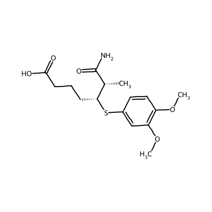 COc1ccc(S[C@H](CCCC(=O)O)[C@@H](C)C(N)=O)cc1OC